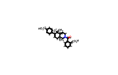 CC1(C)C(c2ccc(C(=O)O)cc2)=CC[C@]2(C)CN(C(=O)c3ccccc3C(=O)O)CC=C12